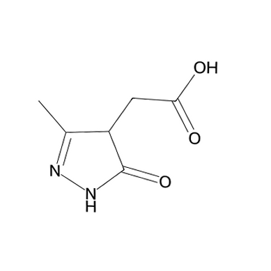 CC1=NNC(=O)C1CC(=O)O